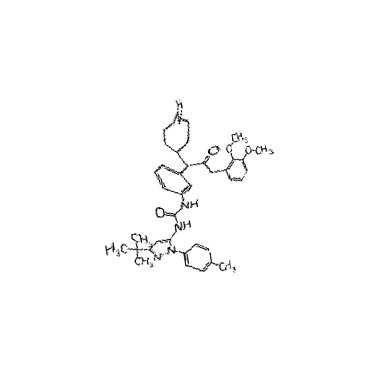 COc1cccc(CC(=O)C(c2cccc(NC(=O)Nc3cc(C(C)(C)C)nn3-c3ccc(C)cc3)c2)C2CCNCC2)c1OC